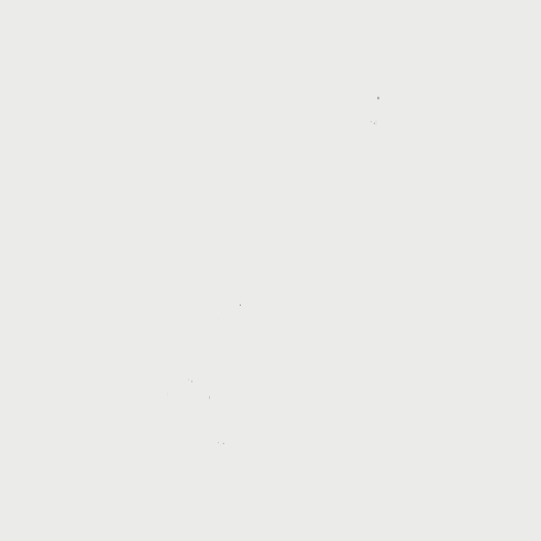 CCCCCNC(=O)CCOCCOCCNC(=O)CCN1C(=O)C=C(SC)C1=O